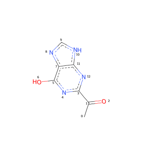 CC(=O)c1nc(O)c2nc[nH]c2n1